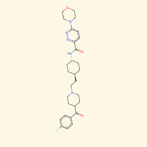 O=C(N[C@H]1CC[C@H](CCN2CCC(C(=O)c3ccc(F)cc3)CC2)CC1)c1ccc(N2CCOCC2)nn1